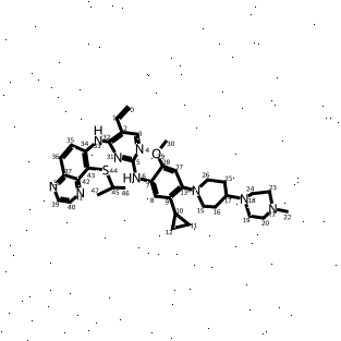 C=Cc1cnc(Nc2cc(C3CC3)c(N3CCC(N4CCN(C)CC4)CC3)cc2OC)nc1Nc1ccc2nccnc2c1SC(C)C